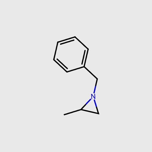 CC1CN1Cc1ccccc1